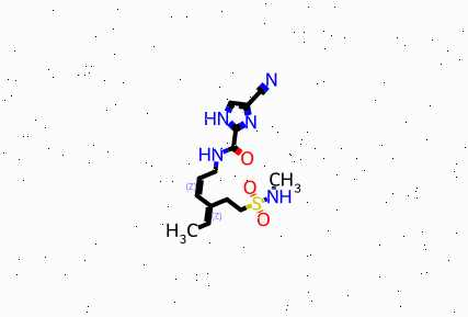 C/C=C(\C=C/CNC(=O)c1nc(C#N)c[nH]1)CCS(=O)(=O)NC